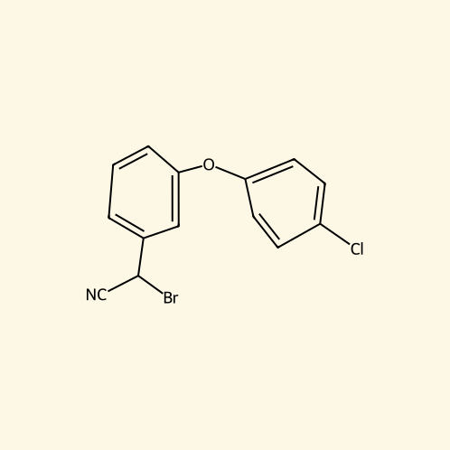 N#CC(Br)c1cccc(Oc2ccc(Cl)cc2)c1